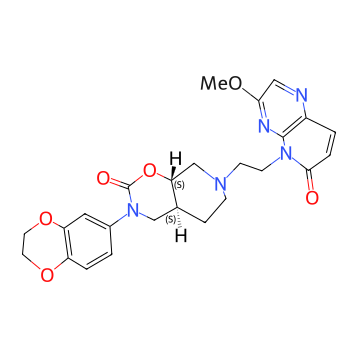 COc1cnc2ccc(=O)n(CCN3CC[C@H]4CN(c5ccc6c(c5)OCCO6)C(=O)O[C@@H]4C3)c2n1